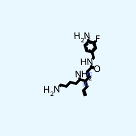 C=C/C=C(/C=C/C(=O)NCc1ccc(N)c(F)c1)C(N)CCCCN